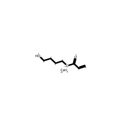 C=CC(=O)OCCCCO.[CaH2]